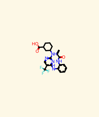 C=CC(=O)Nc1ccccc1Nc1nc(NC2CCCC(C(=O)O)C2)ncc1C(F)(F)F